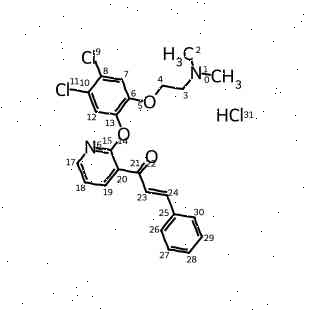 CN(C)CCOc1cc(Cl)c(Cl)cc1Oc1ncccc1C(=O)C=Cc1ccccc1.Cl